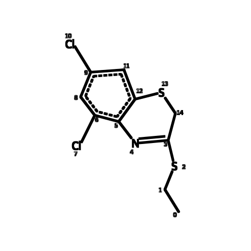 CCSC1=Nc2c(Cl)cc(Cl)cc2SC1